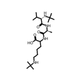 CC(C)[C@H](NC(C)(C)C)C(=O)N[C@@H](C)C(=O)NC(CCCCNC(C)(C)C)C(=O)O